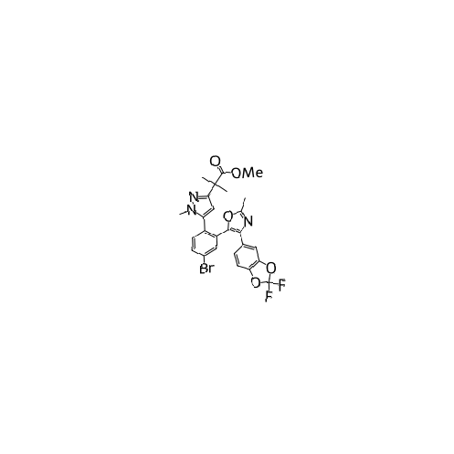 COC(=O)C(C)(C)c1cc(-c2ccc(Br)cc2-c2oc(C)nc2-c2ccc3c(c2)OC(F)(F)O3)n(C)n1